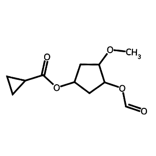 COC1CC(OC(=O)C2CC2)CC1OC=O